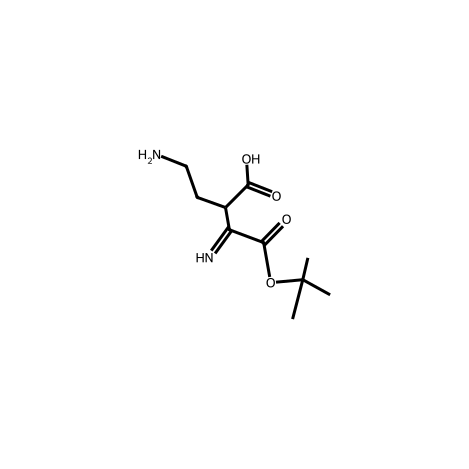 CC(C)(C)OC(=O)C(=N)C(CCN)C(=O)O